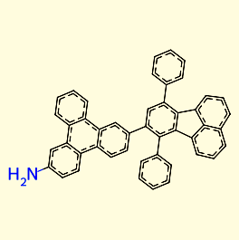 Nc1ccc2c3ccc(-c4cc(-c5ccccc5)c5c(c4-c4ccccc4)-c4cccc6cccc-5c46)cc3c3ccccc3c2c1